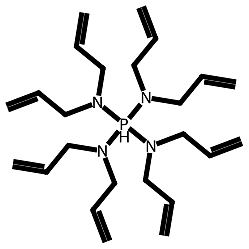 C=CCN(CC=C)[PH](N(CC=C)CC=C)(N(CC=C)CC=C)N(CC=C)CC=C